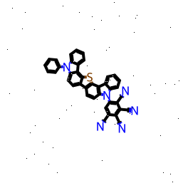 N#Cc1cc(-n2c3ccccc3c3c4sc5c(ccc6c5c5ccccc5n6-c5ccccc5)c4ccc32)c(C#N)c(C#N)c1C#N